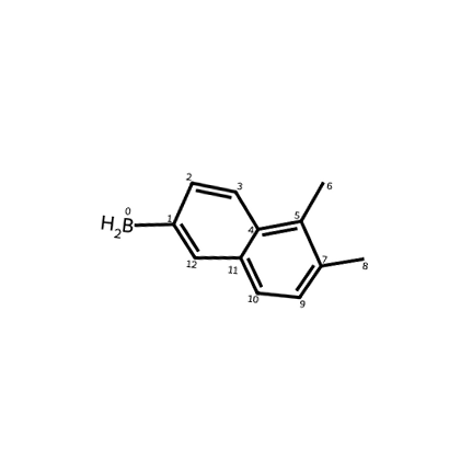 Bc1ccc2c(C)c(C)ccc2c1